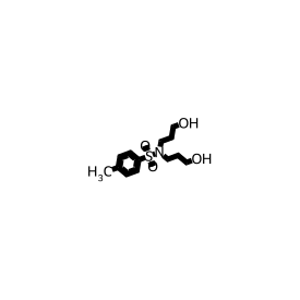 Cc1ccc(S(=O)(=O)N(CCCO)CCCO)cc1